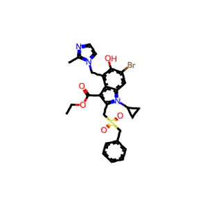 CCOC(=O)c1c(CS(=O)(=O)Cc2ccccc2)n(C2CC2)c2cc(Br)c(O)c(Cn3ccnc3C)c12